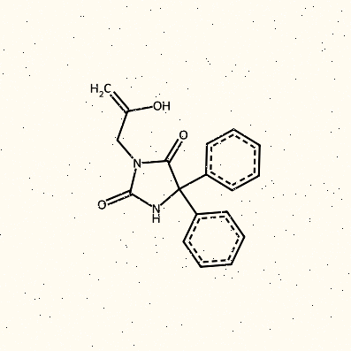 C=C(O)CN1C(=O)NC(c2ccccc2)(c2ccccc2)C1=O